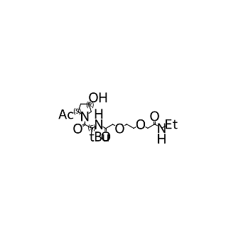 CCNC(=O)COCCOCC(=O)N[C@H](C(=O)N1C[C@H](O)C[C@H]1C(C)=O)C(C)(C)C